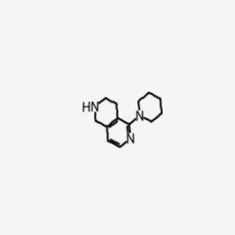 c1cc2c(c(N3CCCCC3)n1)CCNC2